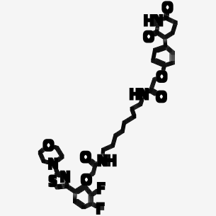 O=C(COc1ccc(C2CCC(=O)NC2=O)cc1)NCCCCCCCCNC(=O)COc1c(-c2csc(N3CCOCC3)n2)ccc(F)c1F